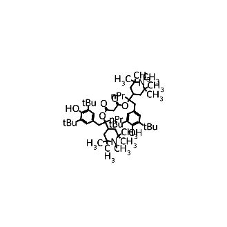 CCCC(Cc1cc(C(C)(C)C)c(O)c(C(C)(C)C)c1)(OC(=O)CC(=O)OC(CCC)(Cc1cc(C(C)(C)C)c(O)c(C(C)(C)C)c1)C1CC(C)(C)N(C)C(C)(C)C1)C1CC(C)(C)N(C)C(C)(C)C1